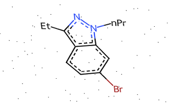 CCCn1nc(CC)c2ccc(Br)cc21